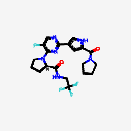 O=C(NCC(F)(F)F)[C@H]1CCCN1c1nc(-c2c[nH]c(C(=O)N3CCCC3)c2)ncc1F